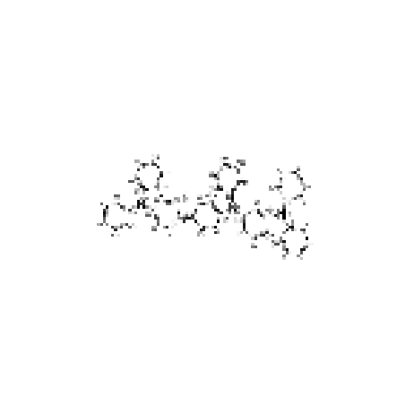 c1ccc(-n2c3ccccc3c3ccc(-n4c5ccccc5c5c6oc7c(ccc8c7c7ccccc7n8-c7ccccc7)c6ccc54)cc32)cc1